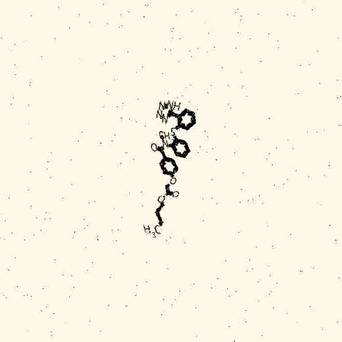 CCCCOC(=O)COc1ccc(C(=O)N(C)c2ccccc2Sc2ccccc2-c2nnn[nH]2)cc1